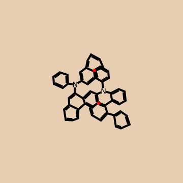 c1ccc(-c2ccccc2-c2ccccc2N(c2ccccc2)c2ccc3c(c2)c(N(c2ccccc2)c2ccc4ccccc4c2)cc2ccccc23)cc1